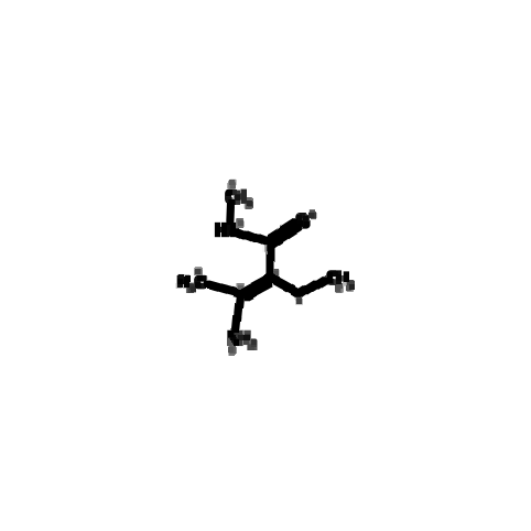 CCC(C(=O)NC)=C(C)N